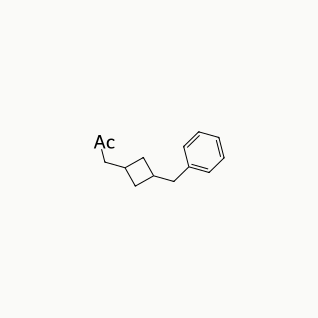 CC(=O)CC1CC(Cc2ccccc2)C1